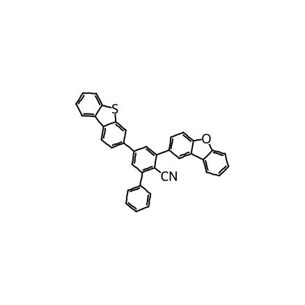 N#Cc1c(-c2ccccc2)cc(-c2ccc3c(c2)sc2ccccc23)cc1-c1ccc2oc3ccccc3c2c1